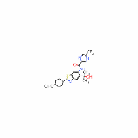 CC(C)(O)c1cc2nc(C3CCC(C=O)CC3)sc2cc1NC(=O)c1cnc(C(F)(F)F)cn1